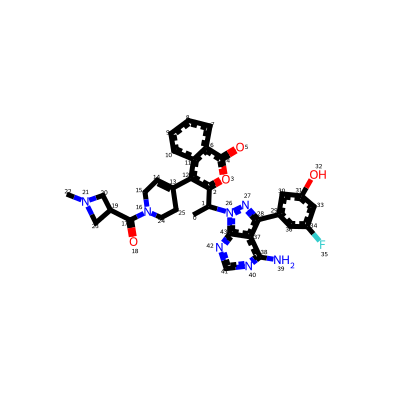 CC(c1oc(=O)c2ccccc2c1C1=CCN(C(=O)C2CN(C)C2)CC1)n1nc(-c2cc(O)cc(F)c2)c2c(N)ncnc21